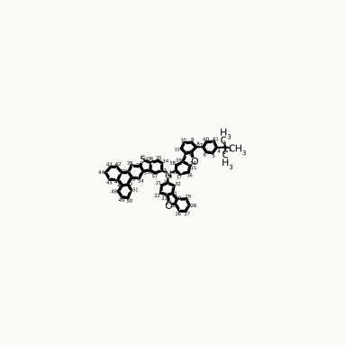 CC(C)(C)c1ccc(-c2cccc3c2oc2ccc(N(c4ccc5oc6ccccc6c5c4)c4ccc5sc6cc7c8ccccc8c8ccccc8c7cc6c5c4)cc23)cc1